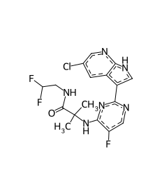 CC(C)(Nc1nc(-c2c[nH]c3ncc(Cl)cc23)ncc1F)C(=O)NCC(F)F